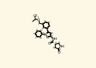 C[C@H](OCc1cccc(-c2cc(NC(=O)[C@@H]3CNC(=O)C3)nn2-c2ccccc2)c1)C(F)(F)F